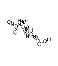 Cc1ccc(SCC(CCN2CCOCC2)Nc2ccc(S(=O)(=O)Nc3ncnc4cc(N5CCN(Cc6ccccc6-c6ccc(Cl)cc6)CC5)ccc34)cc2[N+](=O)[O-])cc1